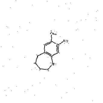 COc1cc2c(cc1[N+](=O)[O-])NCCCC2